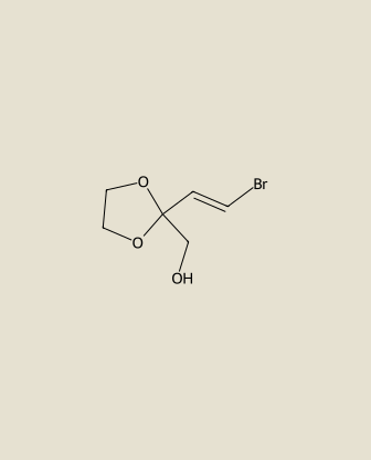 OCC1(C=CBr)OCCO1